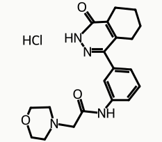 Cl.O=C(CN1CCOCC1)Nc1cccc(-c2n[nH]c(=O)c3c2CCCC3)c1